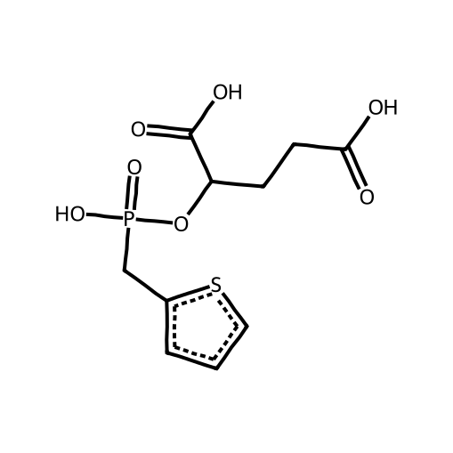 O=C(O)CCC(OP(=O)(O)Cc1cccs1)C(=O)O